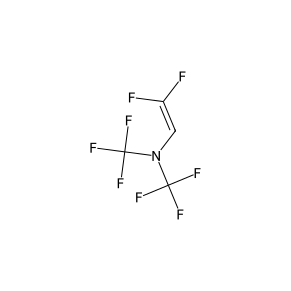 FC(F)=CN(C(F)(F)F)C(F)(F)F